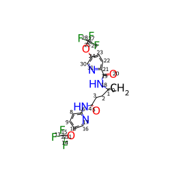 C=C(CCC(=O)Nc1ccc(OC(F)(F)F)cn1)NC(=O)c1ccc(OC(F)(F)F)cn1